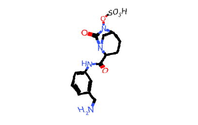 NCc1cccc(NC(=O)C2CCC3CN2C(=O)N3OS(=O)(=O)O)c1